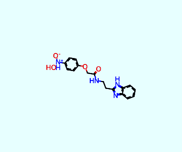 O=C(COc1ccc([NH+]([O-])O)cc1)NCCc1nc2ccccc2[nH]1